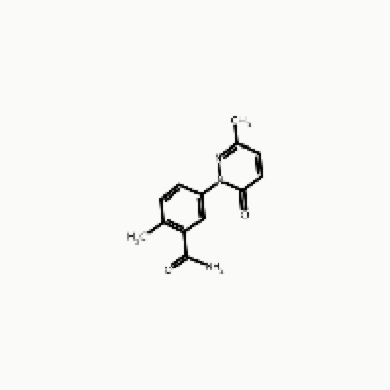 Cc1ccc(=O)n(-c2ccc(C)c(C(N)=O)c2)n1